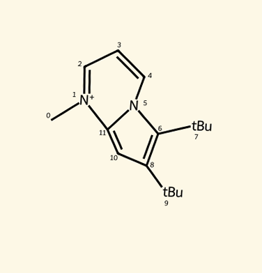 C[n+]1cccn2c(C(C)(C)C)c(C(C)(C)C)cc21